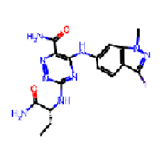 CC[C@@H](Nc1nnc(C(N)=O)c(Nc2ccc3c(I)nn(C)c3c2)n1)C(N)=O